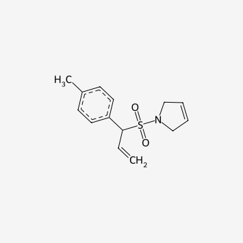 C=CC(c1ccc(C)cc1)S(=O)(=O)N1CC=CC1